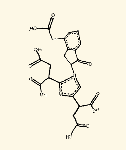 O=C(O)Cc1cccc2c1CC(n1cc(C(CC(=O)O)C(=O)O)nc1C(CC(=O)O)C(=O)O)C2=O